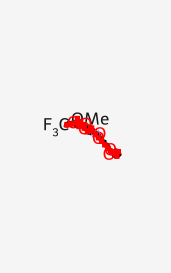 COc1cc(C(=O)Oc2ccc(/C=C/C(=O)OCCCCCCOC(=O)c3ccccc3)cc2)ccc1OCCCC(F)(F)F